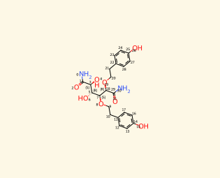 NC(=O)[C@@H](O)[C@@H](O)[C@H](OCCc1ccc(O)cc1)[C@@H](OCCc1ccc(O)cc1)C(N)=O